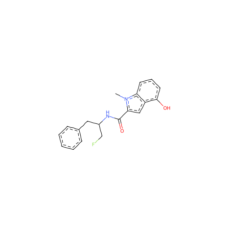 Cn1c(C(=O)NC(CF)Cc2ccccc2)cc2c(O)cccc21